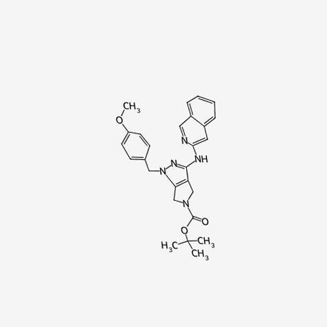 COc1ccc(Cn2nc(Nc3cc4ccccc4cn3)c3c2CN(C(=O)OC(C)(C)C)C3)cc1